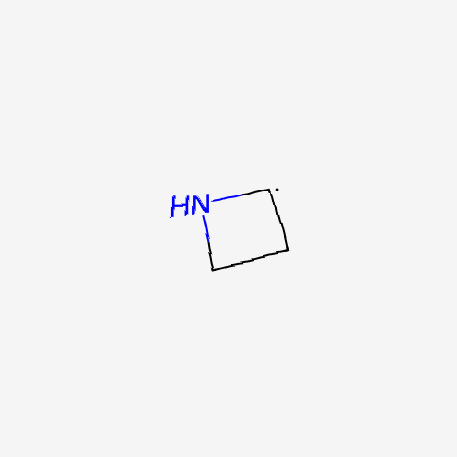 [CH]1CCN1